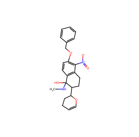 CNC1(O)c2ccc(OCc3ccccc3)c([N+](=O)[O-])c2CCC1C1CCC=CO1